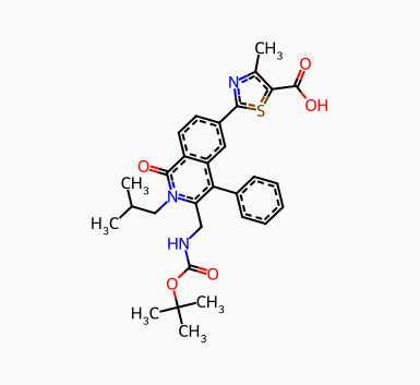 Cc1nc(-c2ccc3c(=O)n(CC(C)C)c(CNC(=O)OC(C)(C)C)c(-c4ccccc4)c3c2)sc1C(=O)O